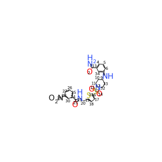 NC(=O)c1cccc(NC2CCN(S(=O)(=O)c3ccc(CNC(=O)c4cccc([N+](=O)[O-])c4)s3)CC2)c1